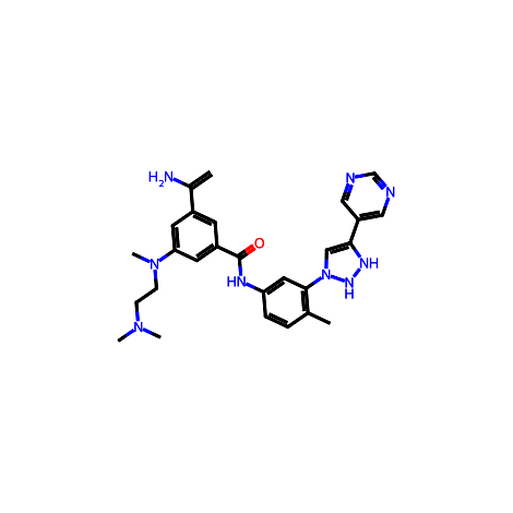 C=C(N)c1cc(C(=O)Nc2ccc(C)c(N3C=C(c4cncnc4)NN3)c2)cc(N(C)CCN(C)C)c1